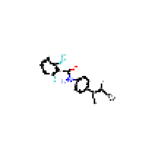 CCC(C)=C(C)c1ccc(NC(=O)c2c(F)cccc2F)cc1